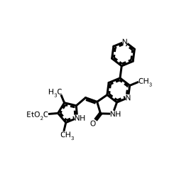 CCOC(=O)c1c(C)[nH]c(C=C2C(=O)Nc3nc(C)c(-c4ccncc4)cc32)c1C